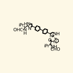 CC(C)C(NC=O)c1nc(-c2ccc(-c3ccc(-c4c[nH]c([C@@H]5CCCN5C(=O)[C@@H](NC=O)C(C)C)n4)cc3)cc2)c[nH]1